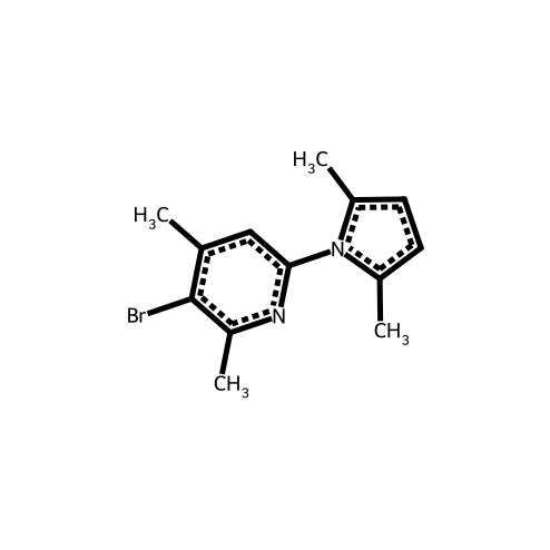 Cc1cc(-n2c(C)ccc2C)nc(C)c1Br